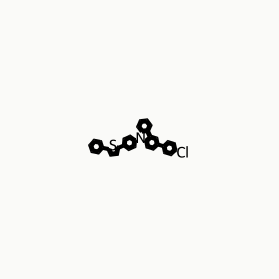 Clc1ccc(-c2ccc3c(c2)c2ccccc2n3-c2ccc(-c3ccc(-c4ccccc4)s3)cc2)cc1